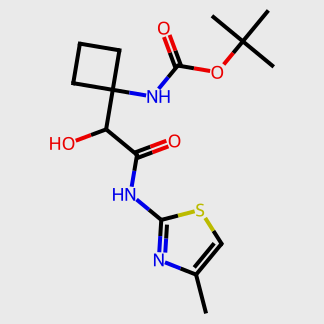 Cc1csc(NC(=O)C(O)C2(NC(=O)OC(C)(C)C)CCC2)n1